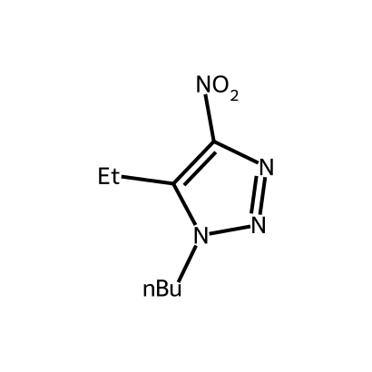 CCCCn1nnc([N+](=O)[O-])c1CC